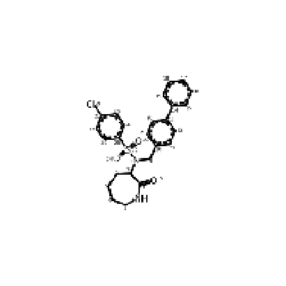 O=C1NCCCCC1N(Cc1ccc(-c2ccccc2)cc1)S(=O)(=O)c1ccc(Cl)cc1